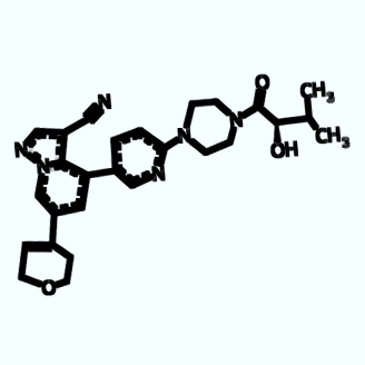 CC(C)[C@@H](O)C(=O)N1CCN(c2ccc(-c3cc(C4=CCOCC4)cn4ncc(C#N)c34)cn2)CC1